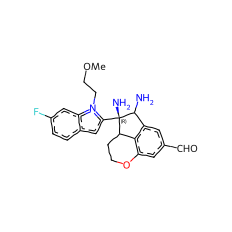 COCCn1c([C@]2(N)C(N)c3cc(C=O)cc4c3C2CCO4)cc2ccc(F)cc21